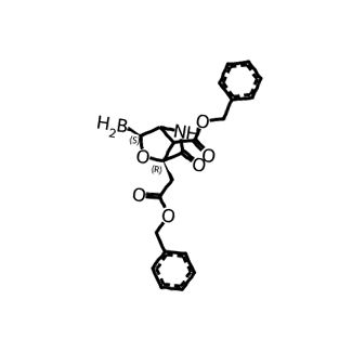 B[C@@H]1O[C@@]2(CC(=O)OCc3ccccc3)C(=O)NC1C2C(=O)OCc1ccccc1